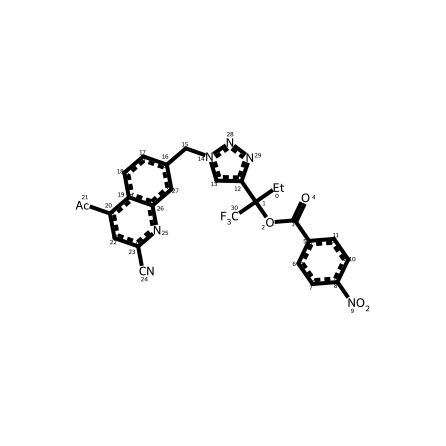 CCC(OC(=O)c1ccc([N+](=O)[O-])cc1)(c1cn(Cc2ccc3c(C(C)=O)cc(C#N)nc3c2)nn1)C(F)(F)F